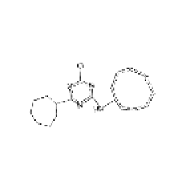 Clc1nc(Nc2ccccccccc2)nc(C2CCCCCC2)n1